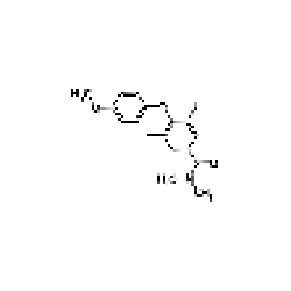 COc1ccc(Oc2c(I)cc(C(=O)N(C)C)cc2I)cc1